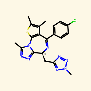 Cc1sc2c(c1C)C(c1ccc(Cl)cc1)=N[C@@H](Cc1nnn(C)n1)c1nnc(C)n1-2